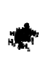 CC[C@H]1OC(=O)[C@H](C)C([C@H]2C[C@@](C)(OC)[C@@H](O)[C@H](C)O2)[C@H](C)[C@@H](O[C@@H]2O[C@H](C)C[C@H](N(C)CCc3cn([C@H](CF)[C@H](OC)c4ccc(-c5cnc(N)nc5)cc4)nn3)[C@H]2O)[C@](C)(OC)C[C@@H](C)C(=O)[C@H](C)[C@@H](CNCC2CCOCC2)[C@]1(C)OC(N)=O